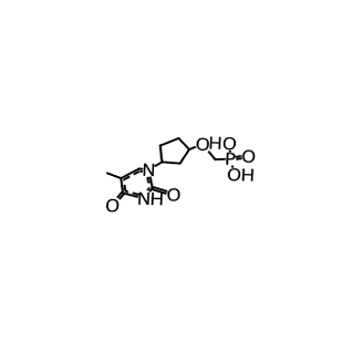 Cc1cn(C2CCC(OCP(=O)(O)O)C2)c(=O)[nH]c1=O